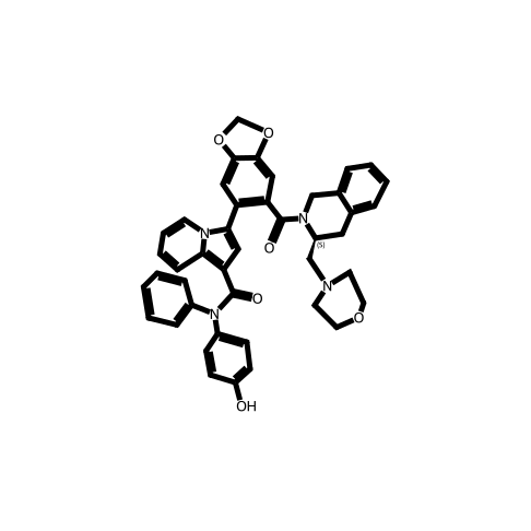 O=C(c1cc(-c2cc3c(cc2C(=O)N2Cc4ccccc4C[C@H]2CN2CCOCC2)OCO3)n2ccccc12)N(c1ccccc1)c1ccc(O)cc1